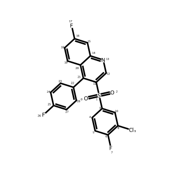 O=S(=O)(c1ccc(F)c(Cl)c1)c1cnc2cc(F)ccc2c1-c1ccc(F)cc1